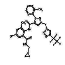 Cc1cccnc1-n1nc(Cn2cc(C(F)(F)C(F)(F)F)nn2)cc1C(=O)Nc1c(C)cc(Cl)cc1C(=O)NCC1CC1